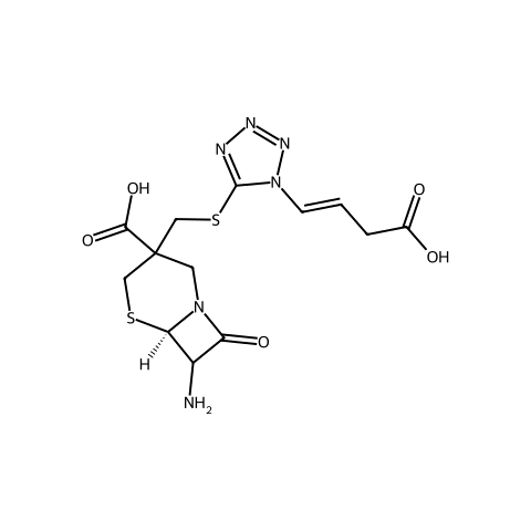 NC1C(=O)N2CC(CSc3nnnn3C=CCC(=O)O)(C(=O)O)CS[C@H]12